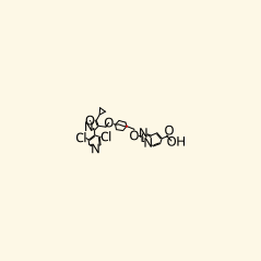 O=C(O)c1ccn2cc(OCC34CCC(OCc5c(-c6c(Cl)cncc6Cl)noc5C5CC5)(CC3)CC4)nc2c1